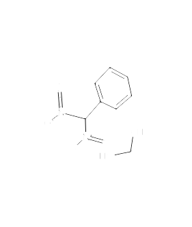 CCO.O=[N+]([O-])C(c1ccccc1)[N+](=O)[O-]